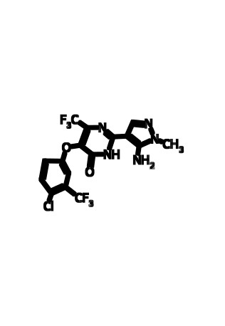 Cn1ncc(-c2nc(C(F)(F)F)c(Oc3ccc(Cl)c(C(F)(F)F)c3)c(=O)[nH]2)c1N